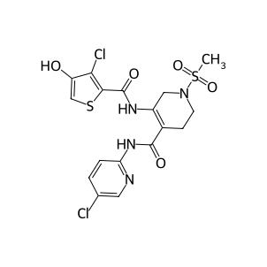 CS(=O)(=O)N1CCC(C(=O)Nc2ccc(Cl)cn2)=C(NC(=O)c2scc(O)c2Cl)C1